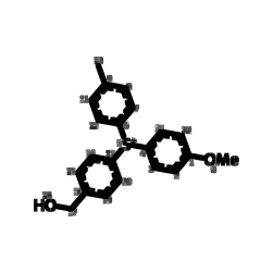 COc1ccc([S+](c2ccc(C)cc2)c2ccc(CO)cc2)cc1